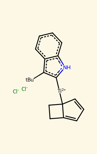 CC(C)(C)c1[c]([Ti+2][C]23C=CC=C2CC3)[nH]c2ccccc12.[Cl-].[Cl-]